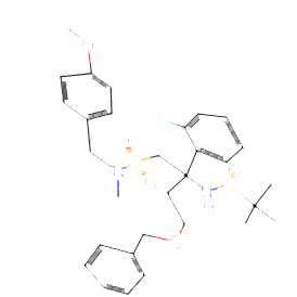 COc1ccc(CN(C)S(=O)(=O)CC(CCOCc2ccccc2)(N[S+]([O-])C(C)(C)C)c2ccccc2F)cc1